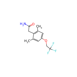 Cc1cc(OCC(F)(F)F)cc(C)c1CC(N)=O